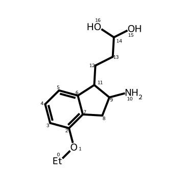 CCOc1cccc2c1CC(N)C2CCC(O)O